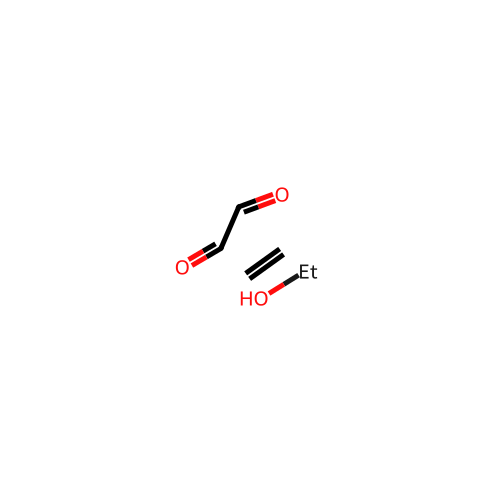 C=C.CCO.O=CC=O